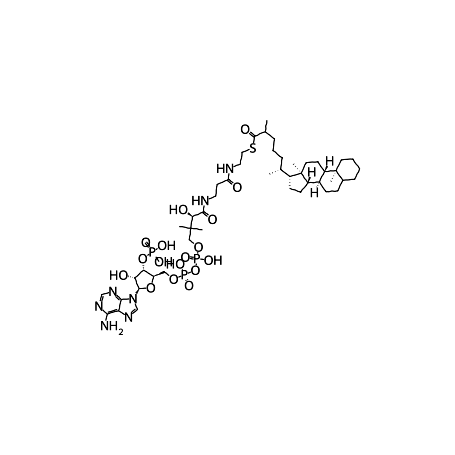 CC(CCC[C@@H](C)[C@H]1CC[C@H]2[C@@H]3CCC4CCCC[C@]4(C)[C@H]3CC[C@]12C)C(=O)SCCNC(=O)CCNC(=O)[C@H](O)C(C)(C)COP(=O)(O)OP(=O)(O)OC[C@H]1O[C@@H](n2cnc3c(N)ncnc32)[C@H](O)[C@@H]1OP(=O)(O)O